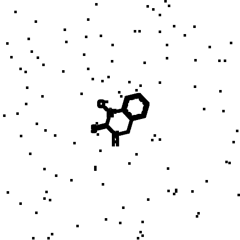 [O-][N+]1C(=S)NCc2ccccc21